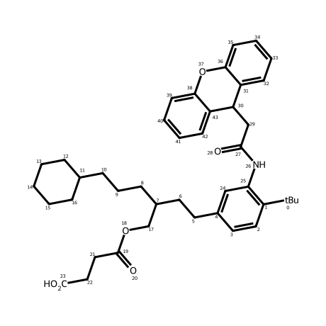 CC(C)(C)c1ccc(CCC(CCCC2CCCCC2)COC(=O)CCC(=O)O)cc1NC(=O)CC1c2ccccc2Oc2ccccc21